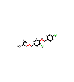 CC(C)COCc1ccc(OCc2ccc(Cl)cc2)c(Cl)c1